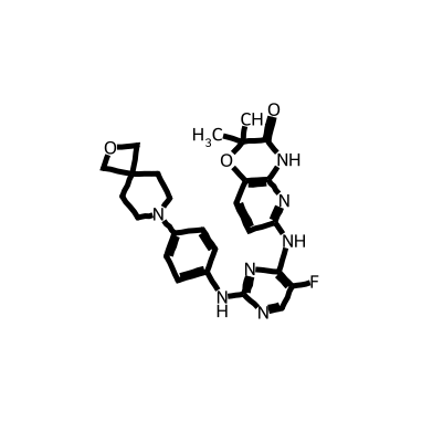 CC1(C)Oc2ccc(Nc3nc(Nc4ccc(N5CCC6(CC5)COC6)cc4)ncc3F)nc2NC1=O